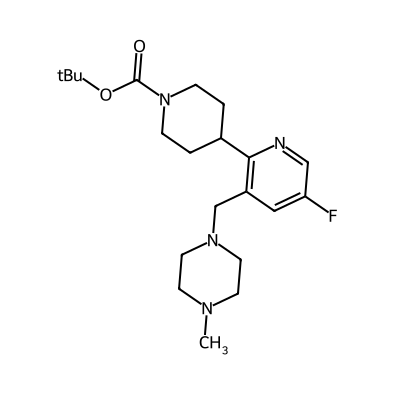 CN1CCN(Cc2cc(F)cnc2C2CCN(C(=O)OC(C)(C)C)CC2)CC1